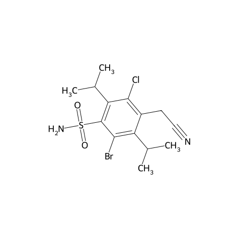 CC(C)c1c(Br)c(S(N)(=O)=O)c(C(C)C)c(Cl)c1CC#N